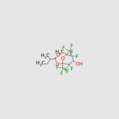 CCC(C)C(=O)OC1(C(F)(F)F)OC(C)(C(F)(F)F)C(F)(F)C(O)C1(F)F